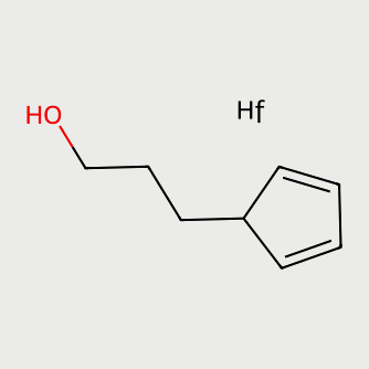 OCCCC1C=CC=C1.[Hf]